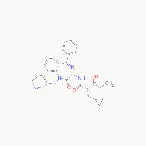 CC[C@H](O)[C@H](CC1CC1)C(=O)NC1N=C(c2ccccc2)c2ccccc2N(Cc2cccnc2)C1=O